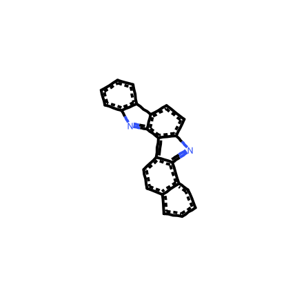 c1ccc2c(c1)N=c1c-2ccc2c1=c1ccc3ccccc3c1=N2